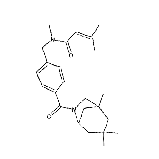 CC(C)=CC(=O)N(C)Cc1ccc(C(=O)N2CC3(C)CC2CC(C)(C)C3)cc1